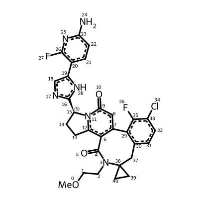 COCCN1C(=O)c2c(cc(=O)n3c2CC[C@H]3c2ncc(-c3ccc(N)nc3F)[nH]2)-c2c(ccc(Cl)c2F)CC12CC2